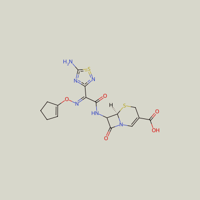 Nc1nc(C(=NOC2=CCCC2)C(=O)NC2C(=O)N3C=C(C(=O)O)CS[C@H]23)ns1